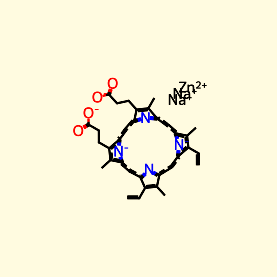 C=CC1=C(C)c2cc3[n-]c(cc4nc(cc5[n-]c(cc1n2)c(C)c5CCC(=O)[O-])C(CCC(=O)[O-])=C4C)c(C)c3C=C.[Na+].[Na+].[Zn+2]